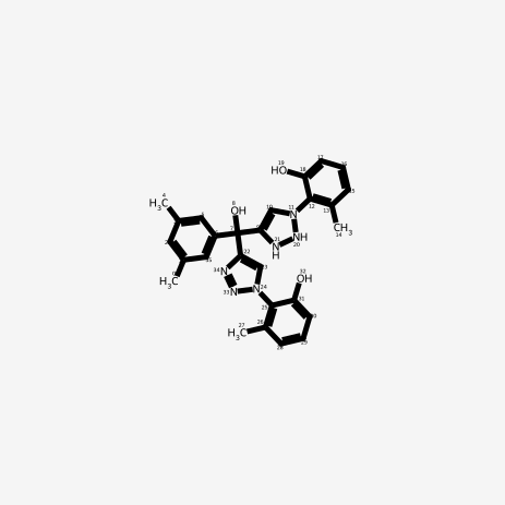 Cc1cc(C)cc(C(O)(C2=CN(c3c(C)cccc3O)NN2)c2cn(-c3c(C)cccc3O)nn2)c1